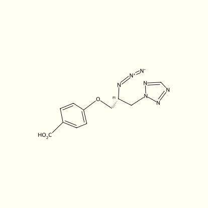 [N-]=[N+]=N[C@@H](COc1ccc(C(=O)O)cc1)Cn1ncnn1